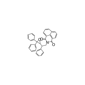 O=C1c2cccc3cccc(c23)C(=O)N1CC(c1ccccc1)C1OC1(c1ccccc1)c1ccccc1